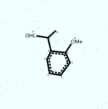 COc1ccccc1C(C)C=O